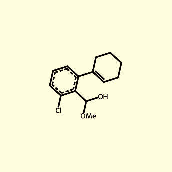 COC(O)c1c(Cl)cccc1C1=CCCCC1